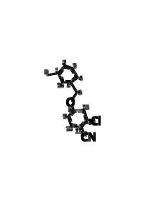 Cc1cccc(COc2ccc(C#N)c(Cl)c2)c1